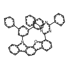 c1ccc(-c2cc(-c3ccccc3)cc(-n3c4ccccc4c4ccc5c6cccc(-c7nc(-c8ccccc8)nc(-c8ccccc8)n7)c6oc5c43)c2)cc1